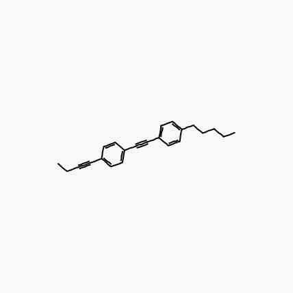 CCC#Cc1ccc(C#Cc2ccc(CCCCC)cc2)cc1